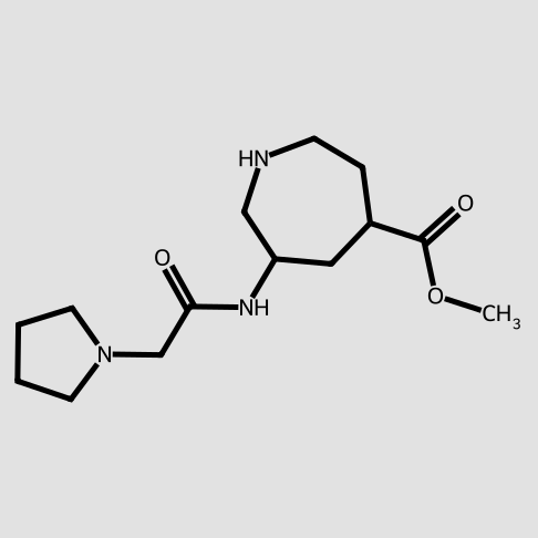 COC(=O)C1CCNCC(NC(=O)CN2CCCC2)C1